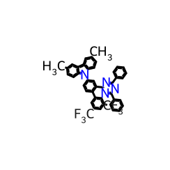 Cc1ccc2c(c1)c1cc(C)ccc1n2-c1ccc(-c2cc(C(F)(F)F)cc(C(F)(F)F)c2)c(-c2nc(-c3ccccc3)nc(-c3ccccc3)n2)c1